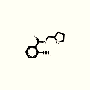 Nc1ccccc1C(=O)NCC1CCCO1